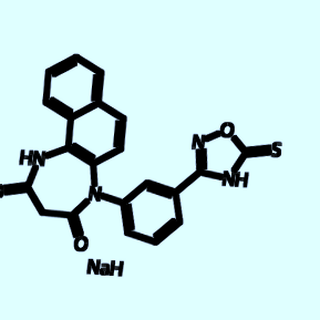 O=C1CC(=O)N(c2cccc(-c3noc(=S)[nH]3)c2)c2ccc3ccccc3c2N1.[NaH]